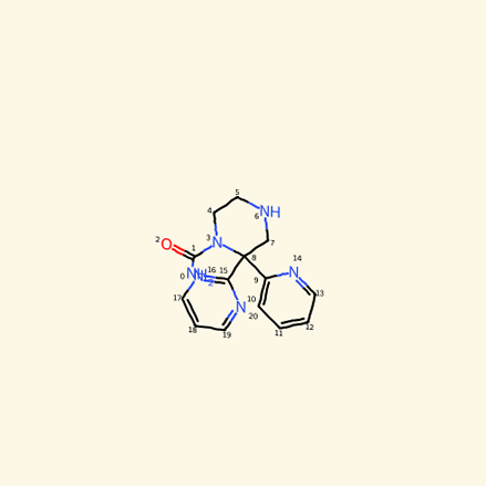 NC(=O)N1CCNCC1(c1ccccn1)c1ncccn1